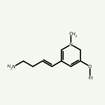 CCOC1=CC(/C=C/CCN)=CN(C)C1